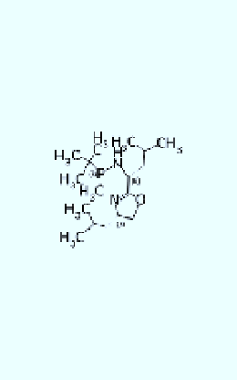 CC(C)C[C@H]1COC([C@@H](CC(C)C)N[P@](C)C(C)(C)C)=N1